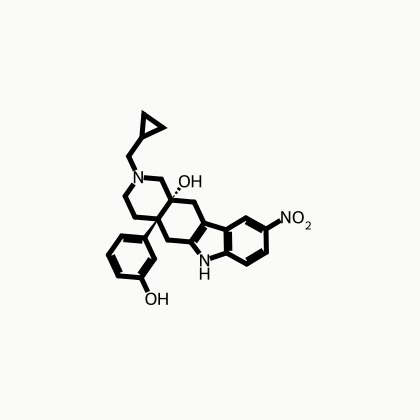 O=[N+]([O-])c1ccc2[nH]c3c(c2c1)C[C@]1(O)CN(CC2CC2)CC[C@@]1(c1cccc(O)c1)C3